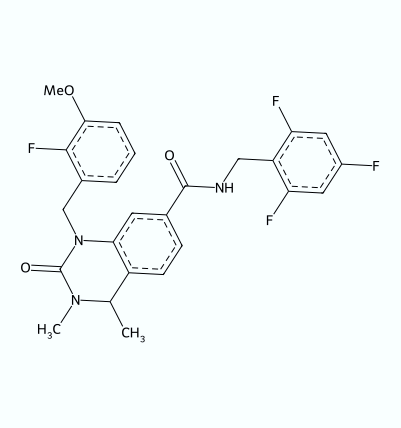 COc1cccc(CN2C(=O)N(C)C(C)c3ccc(C(=O)NCc4c(F)cc(F)cc4F)cc32)c1F